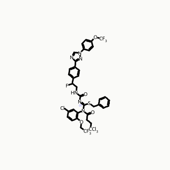 O=C(/N=C(\SCc1ccccc1)N(C(=O)CCC(Cl)(Cl)Cl)c1cc(Cl)ccc1OCC(F)(F)F)NCC(F)c1ccc(-c2ncn(-c3ccc(OC(F)(F)F)cc3)n2)cc1